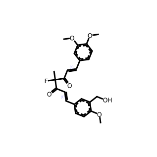 COc1ccc(/C=C/C(=O)C(C)(F)C(=O)/C=C/c2ccc(OC)c(OC)c2)cc1CO